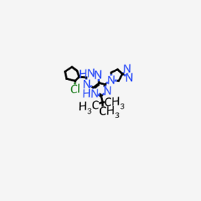 CC(C)(C)c1nc(NCC2CCCCC2Cl)c(N=N)c(N2CCC3(C2)N=N3)n1